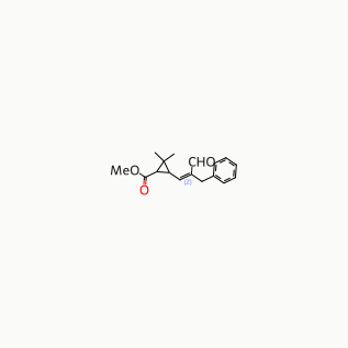 COC(=O)C1C(/C=C(\C=O)Cc2ccccc2)C1(C)C